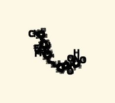 O=C1CCC(N2Cc3cc(CCCC4CCN(c5ncc(-c6cccc(Cl)c6)cc5C(F)(F)F)CC4)ccc3C2=O)C(=O)N1